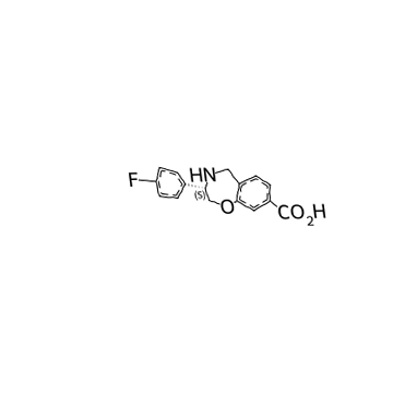 O=C(O)c1ccc2c(c1)OC[C@H](c1ccc(F)cc1)NC2